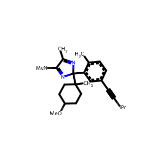 CNC1=NC(c2cc(C#CC(C)C)ccc2C)(C2(C)CCC(OC)CC2)N=C1C